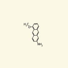 COc1cccc2cc3cc(N)ccc3cc12